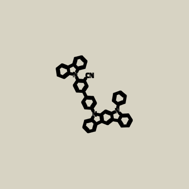 N#Cc1cc(-c2ccc(-n3c4ccccc4c4cc5c6ccccc6n(-c6ccccc6)c5cc43)cc2)ccc1-n1c2ccccc2c2ccccc21